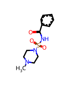 CN1CCN(S(=O)(=O)NC(=O)c2ccccc2)CC1